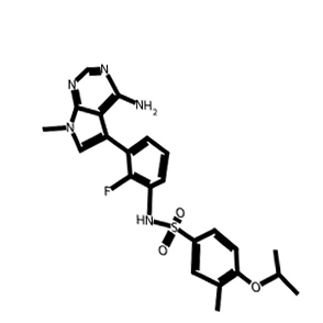 Cc1cc(S(=O)(=O)Nc2cccc(-c3cn(C)c4ncnc(N)c34)c2F)ccc1OC(C)C